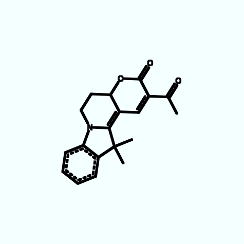 CC(=O)C1=CC2=C3N(CCC2OC1=O)c1ccccc1C3(C)C